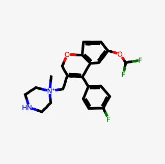 C[N+]1(CC2=C(c3ccc(F)cc3)c3cc(OC(F)F)ccc3OC2)CCNCC1